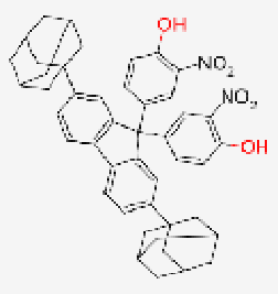 O=[N+]([O-])c1cc(C2(c3ccc(O)c([N+](=O)[O-])c3)c3cc(C45CC6CC(CC(C6)C4)C5)ccc3-c3ccc(C45CC6CC(CC(C6)C4)C5)cc32)ccc1O